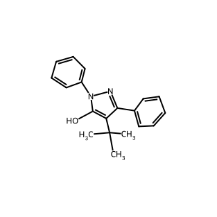 CC(C)(C)c1c(-c2ccccc2)nn(-c2ccccc2)c1O